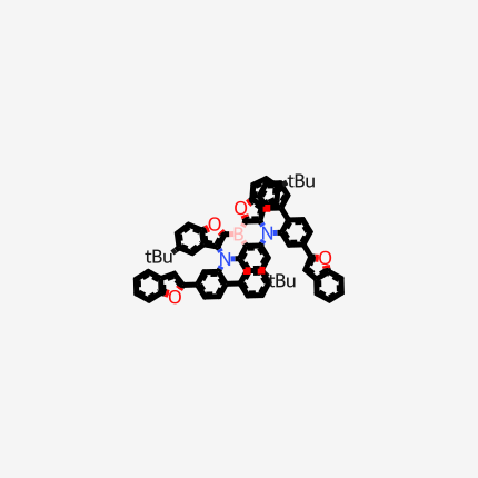 CC(C)(C)c1cc2c3c(c1)N(c1cc(-c4cc5ccccc5o4)ccc1-c1ccccc1)c1c(oc4ccc(C(C)(C)C)cc14)B3c1oc3ccc(C(C)(C)C)cc3c1N2c1cc(-c2cc3ccccc3o2)ccc1-c1ccccc1